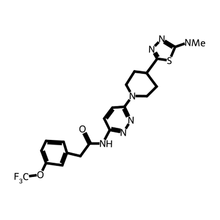 CNc1nnc(C2CCN(c3ccc(NC(=O)Cc4cccc(OC(F)(F)F)c4)nn3)CC2)s1